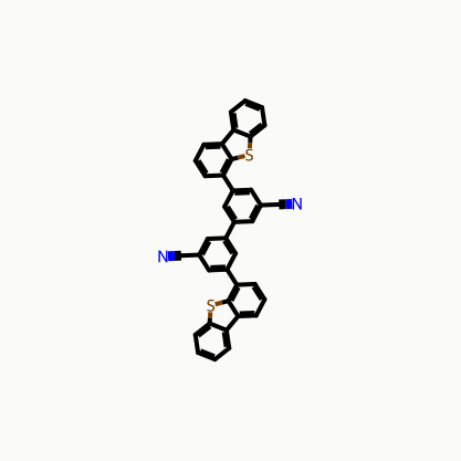 N#Cc1cc(-c2cc(C#N)cc(-c3cccc4c3sc3ccccc34)c2)cc(-c2cccc3c2sc2ccccc23)c1